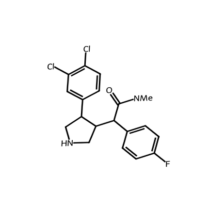 CNC(=O)C(c1ccc(F)cc1)C1CNCC1c1ccc(Cl)c(Cl)c1